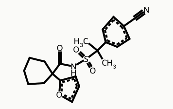 CC(C)(c1ccc(C#N)cc1)S(=O)(=O)NC(=O)C1(c2ccco2)CCCCC1